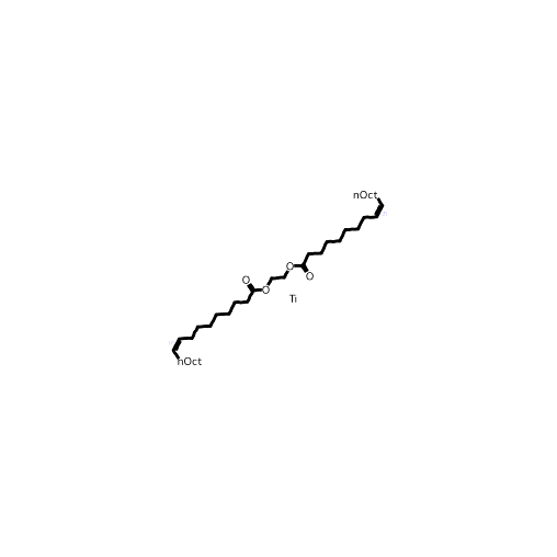 CCCCCCCC/C=C\CCCCCCCC(=O)OCCOC(=O)CCCCCCC/C=C\CCCCCCCC.[Ti]